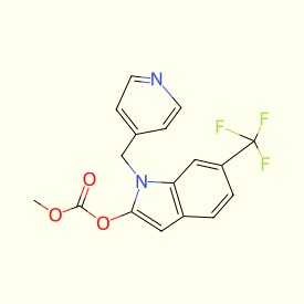 COC(=O)Oc1cc2ccc(C(F)(F)F)cc2n1Cc1ccncc1